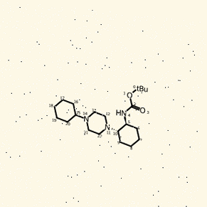 CC(C)(C)OC(=O)N[C@H]1CCCC[C@@H]1N1CCN(C2CCCCC2)CC1